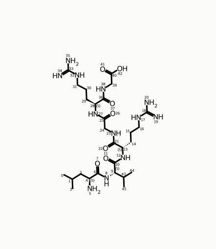 CC(C)C[C@H](N)C(=O)N[C@H](C(=O)N[C@@H](CCCNC(=N)N)C(=O)NCC(=O)N[C@@H](CCCNC(=N)N)C(=O)NCC(=O)O)C(C)C